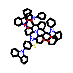 c1ccc(-c2cc3c4c(c2)N(c2c(-c5cccc6c7ccccc7n(-c7ccccc7)c56)cccc2-c2cccc5c6ccccc6n(-c6ccccc6)c25)c2cc(-n5c6ccccc6c6ccccc65)ccc2N4c2ccc(-n4c5ccccc5c5ccccc54)cc2S3)cc1